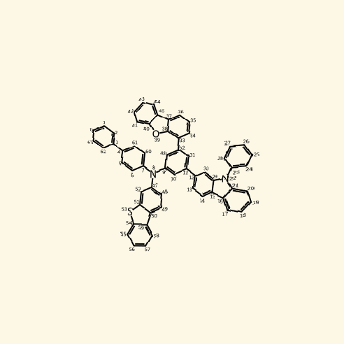 c1ccc(-c2ccc(N(c3cc(-c4ccc5c6ccccc6n(-c6ccccc6)c5c4)cc(-c4cccc5c4oc4ccccc45)c3)c3ccc4c(c3)sc3ccccc34)cc2)cc1